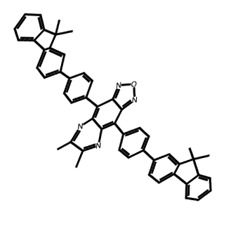 Cc1nc2c(-c3ccc(-c4ccc5c(c4)C(C)(C)c4ccccc4-5)cc3)c3nonc3c(-c3ccc(-c4ccc5c(c4)C(C)(C)c4ccccc4-5)cc3)c2nc1C